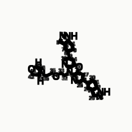 c1cc2[nH]ncc2cc1-c1cnc2c(c1)Oc1cc(-c3ccc4[nH]ncc4c3)cnc1N2CCOCCN1C[C@@H]2C[C@H]1CO2